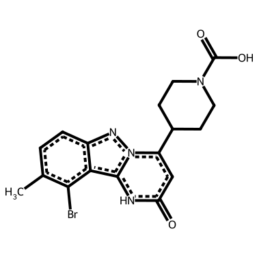 Cc1ccc2nn3c(C4CCN(C(=O)O)CC4)cc(=O)[nH]c3c2c1Br